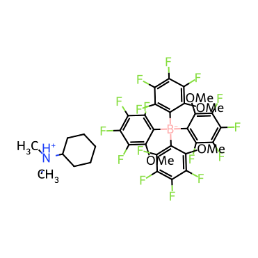 COc1c(F)c(F)c(F)c(F)c1[B-](c1c(F)c(F)c(F)c(F)c1OC)(c1c(F)c(F)c(F)c(F)c1OC)c1c(F)c(F)c(F)c(F)c1OC.C[NH+](C)C1CCCCC1